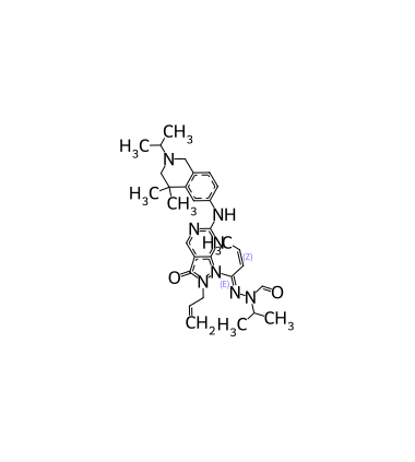 C=CCn1c(=O)c2cnc(Nc3ccc4c(c3)C(C)(C)CN(C(C)C)C4)nc2n1C(/C=C\C)=N/N(C=O)C(C)C